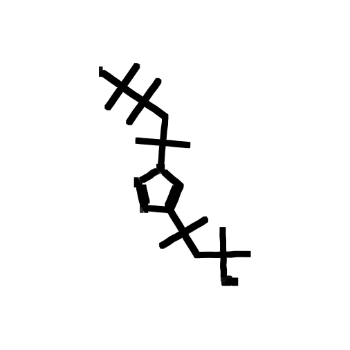 CC(C)(CC(C)(C)C(C)(C)C)c1cn(C(C)(C)CC(C)(C)C(C)(C)I)nn1